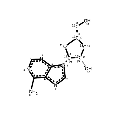 Nc1ncnc2c1ncn2[13C@@H]1O[13C@H]([13CH2]O)[13CH2][13C@@H]1O